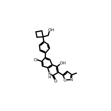 Cc1cc(-c2c(O)c3cc(-c4ccc(C5(CO)CCC5)cc4)c(Cl)cc3[nH]c2=O)on1